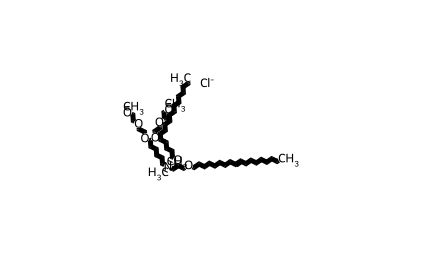 CCCCCCCCC=CCCCCCCCCOCC(C[N+](C)(C)CCCCCC(OCCOCCOC)OCCOCCOC)OCCCCCCCCC=CCCCCCCCC.[Cl-]